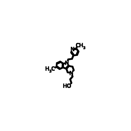 Cc1ccc2c(c1)c1c(n2CCc2ccc(C)nc2)CCN(CCCO)C1